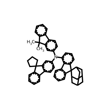 CC1(C)c2ccccc2-c2ccc(N(c3ccc4c(c3)C3(CCCC3)c3ccccc3-4)c3cccc4c3-c3ccccc3C43C4CC5CC(C4)CC3C5)cc21